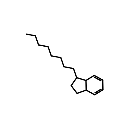 CCCCCCCCC1CCC2C=CC=CC21